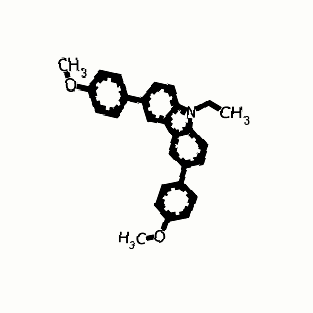 CCn1c2ccc(-c3ccc(OC)cc3)cc2c2cc(-c3ccc(OC)cc3)ccc21